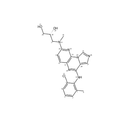 Cc1cccc(Cl)c1Nc1nc2ccc(N(C)C[C@@H](O)CO)nc2n2cncc12